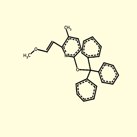 COC=Cc1nc(OC(c2ccccc2)(c2ccccc2)c2ccccc2)ccc1C